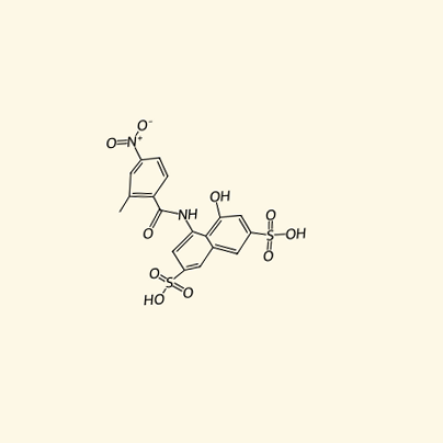 Cc1cc([N+](=O)[O-])ccc1C(=O)Nc1cc(S(=O)(=O)O)cc2cc(S(=O)(=O)O)cc(O)c12